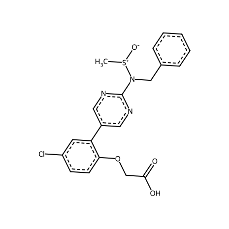 C[S+]([O-])N(Cc1ccccc1)c1ncc(-c2cc(Cl)ccc2OCC(=O)O)cn1